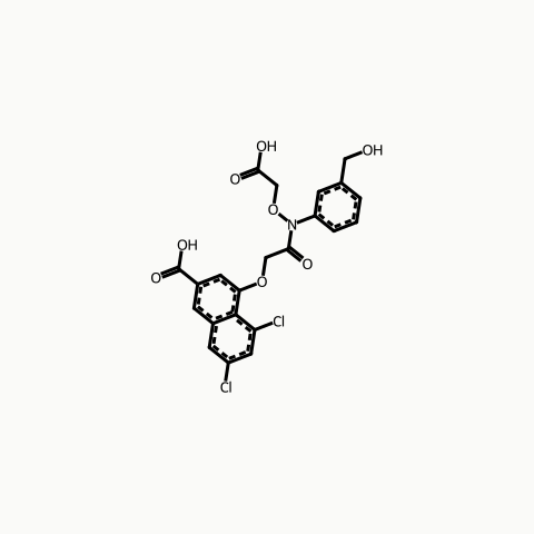 O=C(O)CON(C(=O)COc1cc(C(=O)O)cc2cc(Cl)cc(Cl)c12)c1cccc(CO)c1